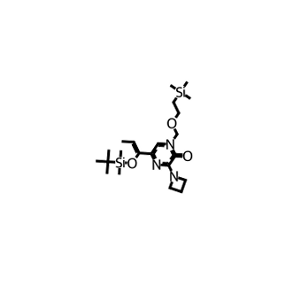 CC=C(O[Si](C)(C)C(C)(C)C)c1cn(COCC[Si](C)(C)C)c(=O)c(N2CCC2)n1